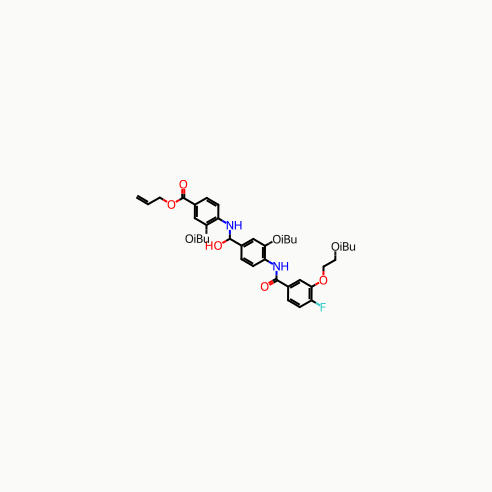 C=CCOC(=O)c1ccc(NC(O)c2ccc(NC(=O)c3ccc(F)c(OCCOCC(C)C)c3)c(OCC(C)C)c2)c(OCC(C)C)c1